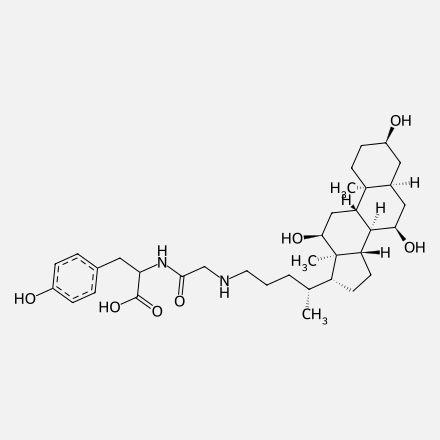 C[C@H](CCCNCC(=O)NC(Cc1ccc(O)cc1)C(=O)O)[C@H]1CC[C@H]2[C@@H]3[C@H](O)C[C@@H]4C[C@H](O)CC[C@]4(C)[C@H]3C[C@H](O)[C@]12C